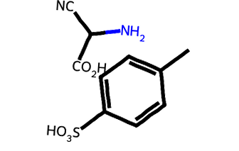 Cc1ccc(S(=O)(=O)O)cc1.N#CC(N)C(=O)O